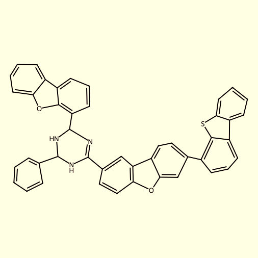 c1ccc(C2NC(c3ccc4oc5cc(-c6cccc7c6sc6ccccc67)ccc5c4c3)=NC(c3cccc4c3oc3ccccc34)N2)cc1